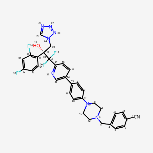 N#Cc1ccc(CN2CCN(c3ccc(-c4ccc(C(F)(F)[C@](O)(Cn5cnnn5)c5ccc(F)cc5F)nc4)cc3)CC2)cc1